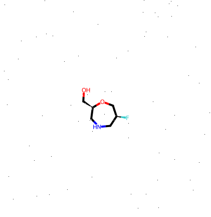 OC[C@@H]1CNC[C@H](F)CO1